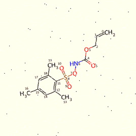 C=CCOC(=O)NOS(=O)(=O)c1c(C)cc(C)cc1C